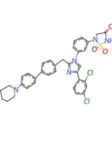 O=C1CN(c2cccc(-n3cc(-c4ccc(Cl)cc4Cl)nc3Cc3ccc(-c4ccc(N5CCCCC5)cc4)cc3)c2)S(=O)(=O)N1